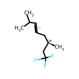 CC(C)/C=C/C[C@@H](C)CC(F)(F)F